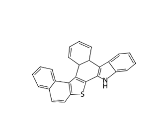 C1=CC2c3c([nH]c4ccccc34)-c3sc4ccc5ccccc5c4c3C2C=C1